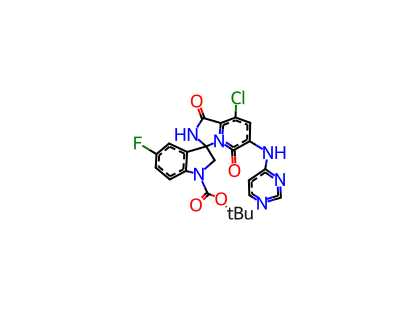 CC(C)(C)OC(=O)N1CC2(NC(=O)c3c(Cl)cc(Nc4ccncn4)c(=O)n32)c2cc(F)ccc21